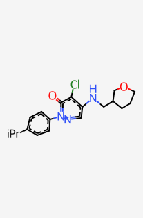 CC(C)c1ccc(-n2ncc(NCC3CCCOC3)c(Cl)c2=O)cc1